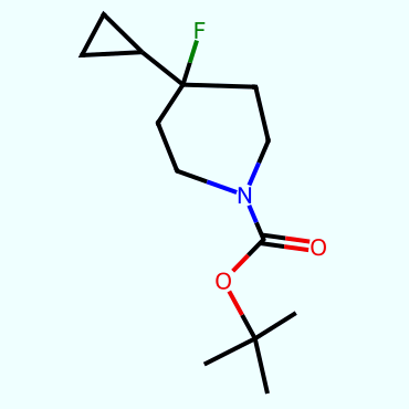 CC(C)(C)OC(=O)N1CCC(F)(C2CC2)CC1